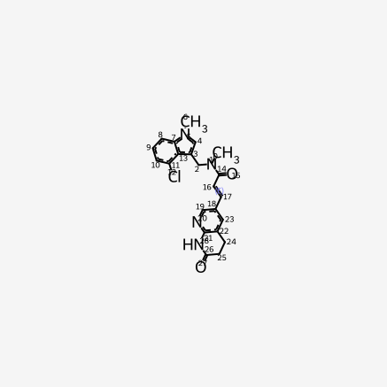 CN(Cc1cn(C)c2cccc(Cl)c12)C(=O)/C=C/c1cnc2c(c1)CCC(=O)N2